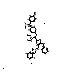 CCN(CC)C(CC1CCC(C(c2ccc(F)cc2)N(C)C)CC1)c1nc(Cc2ccccc2)c(CNCc2ccccc2)o1